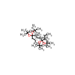 CCCC(OC(C)(C)C)(OC(C)(C)C)[SiH2]C[SiH2]C(CCC)(OC(C)(C)C)OC(C)(C)C